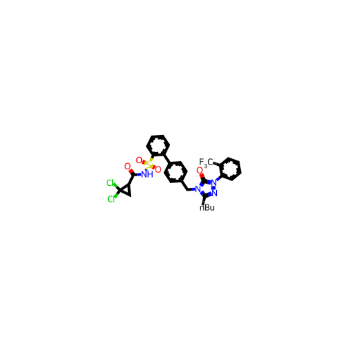 CCCCc1nn(-c2ccccc2C(F)(F)F)c(=O)n1Cc1ccc(-c2ccccc2S(=O)(=O)NC(=O)C2CC2(Cl)Cl)cc1